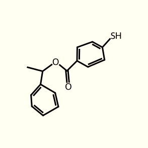 CC(OC(=O)c1ccc(S)cc1)c1ccccc1